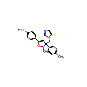 COc1ccc(C2=CC(Cn3ccnc3)(c3ccc(C)cc3)N(C)O2)cc1